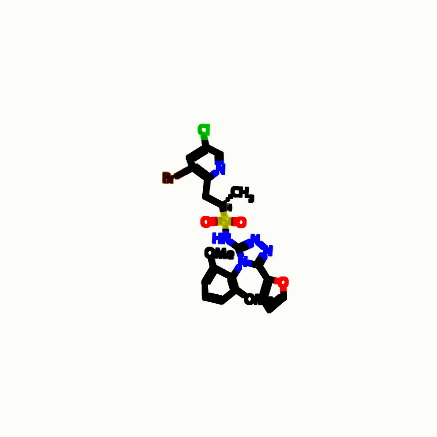 COc1cccc(OC)c1-n1c(NS(=O)(=O)[C@@H](C)Cc2ncc(Cl)cc2Br)nnc1-c1ccco1